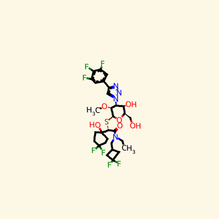 CCN(CC1CC(F)(F)C1)C(=O)[C@@H](S[C@@H]1O[C@H](CO)[C@H](O)[C@H](n2cc(-c3cc(F)c(F)c(F)c3)nn2)[C@H]1OC)C1(O)CCC(F)(F)CC1